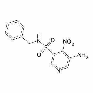 Nc1cncc(S(=O)(=O)NCc2ccccc2)c1[N+](=O)[O-]